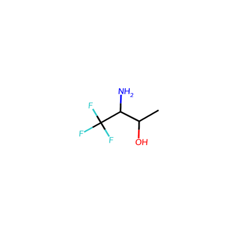 CC(O)C(N)C(F)(F)F